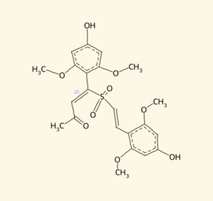 COc1cc(O)cc(OC)c1C=CS(=O)(=O)/C(=C\C(C)=O)c1c(OC)cc(O)cc1OC